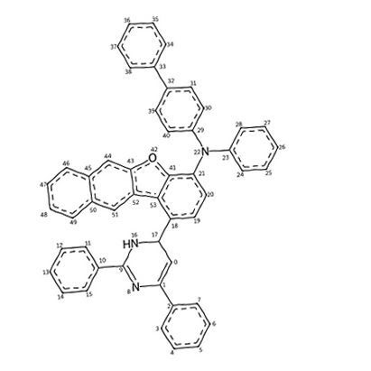 C1=C(c2ccccc2)N=C(c2ccccc2)NC1c1ccc(N(c2ccccc2)c2ccc(-c3ccccc3)cc2)c2oc3cc4ccccc4cc3c12